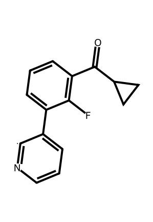 O=C(c1cccc(-c2[c]nccc2)c1F)C1CC1